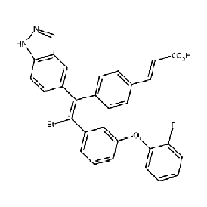 CC/C(=C(/c1ccc(/C=C/C(=O)O)cc1)c1ccc2[nH]ncc2c1)c1cccc(Oc2ccccc2F)c1